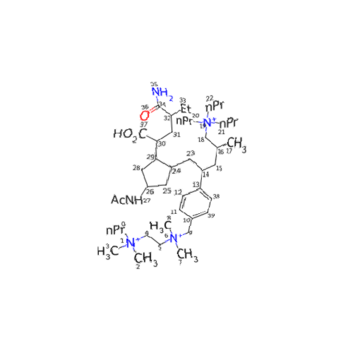 CCC[N+](C)(C)CC[N+](C)(C)Cc1ccc(C(CC(C)C[N+](CCC)(CCC)CCC)CC2CC(NC(C)=O)CC2C(CC(CC)C(N)=O)C(=O)O)cc1